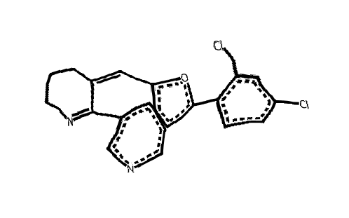 Clc1ccc(-c2ccc(/C=C3/CCCN=C3c3cccnc3)o2)c(Cl)c1